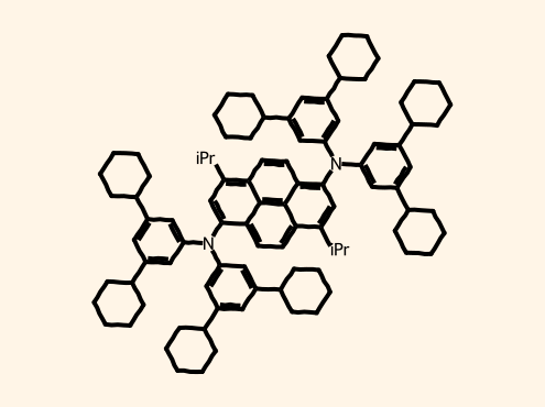 CC(C)c1cc(N(c2cc(C3CCCCC3)cc(C3CCCCC3)c2)c2cc(C3CCCCC3)cc(C3CCCCC3)c2)c2ccc3c(C(C)C)cc(N(c4cc(C5CCCCC5)cc(C5CCCCC5)c4)c4cc(C5CCCCC5)cc(C5CCCCC5)c4)c4ccc1c2c34